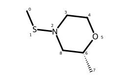 CSN1CCO[C@H](C)C1